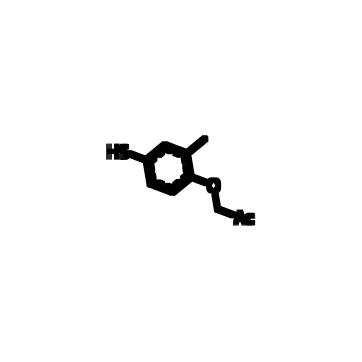 CC(=O)COc1ccc(S)cc1C